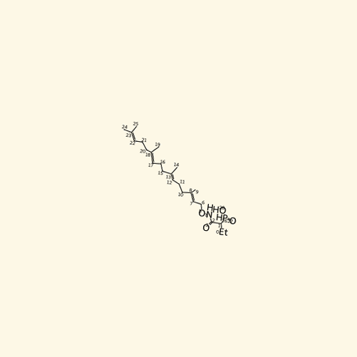 CCC(C(=O)NOC/C=C(\C)CC/C=C(\C)CC/C=C(\C)CCC=C(C)C)[PH](=O)O